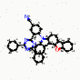 N#Cc1ccc(-n2c3ccccc3c3c4oc5ccccc5c4ccc32)c(-c2nc(-c3ccccc3)nc(-c3ccccc3)n2)c1